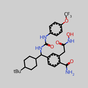 CC(C)(C)C1CCC(C(NC(=O)Nc2ccc(OC(F)(F)F)cc2)c2ccc(C(N)=O)c(CC(=O)NO)c2)CC1